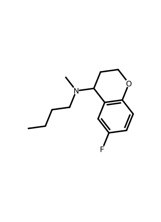 CCCCN(C)C1CCOc2ccc(F)cc21